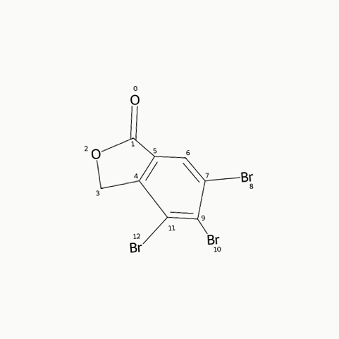 O=C1OCc2c1cc(Br)c(Br)c2Br